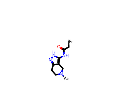 CC(=O)N1CCc2n[nH]c(NC(=O)CC(C)C)c2C1